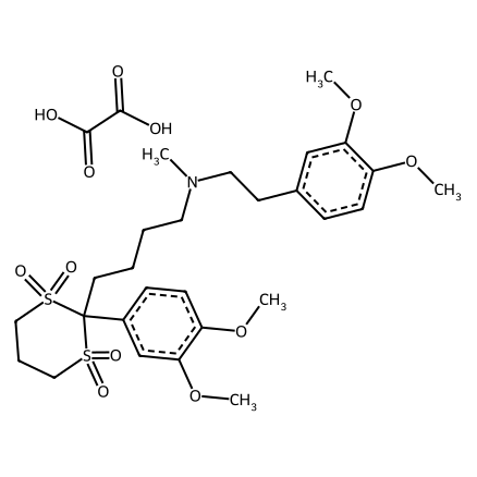 COc1ccc(CCN(C)CCCCC2(c3ccc(OC)c(OC)c3)S(=O)(=O)CCCS2(=O)=O)cc1OC.O=C(O)C(=O)O